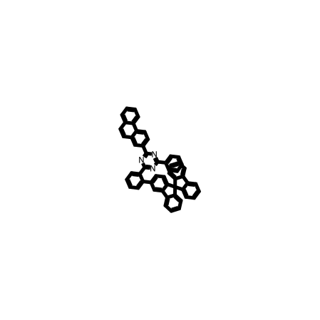 c1ccc(-c2nc(-c3ccc4c(ccc5ccccc54)c3)nc(-c3ccccc3-c3ccc4c(c3)-c3ccccc3C43c4ccccc4-c4ccccc43)n2)cc1